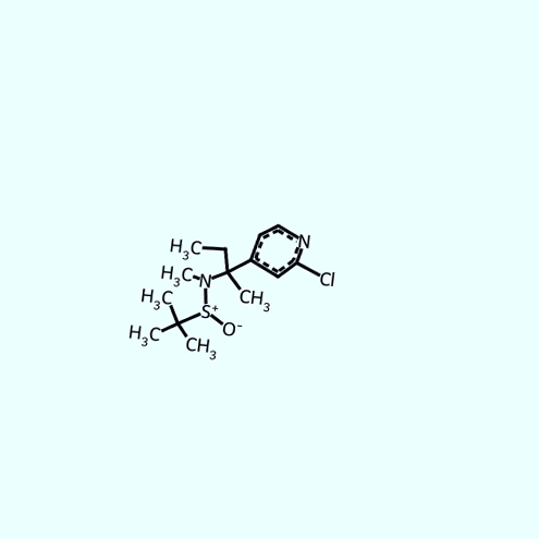 CCC(C)(c1ccnc(Cl)c1)N(C)[S+]([O-])C(C)(C)C